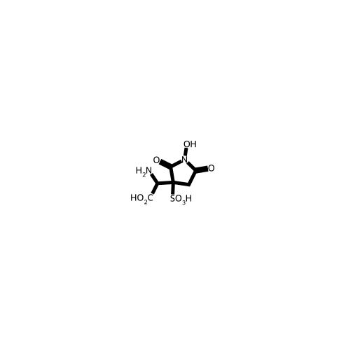 NC(C(=O)O)C1(S(=O)(=O)O)CC(=O)N(O)C1=O